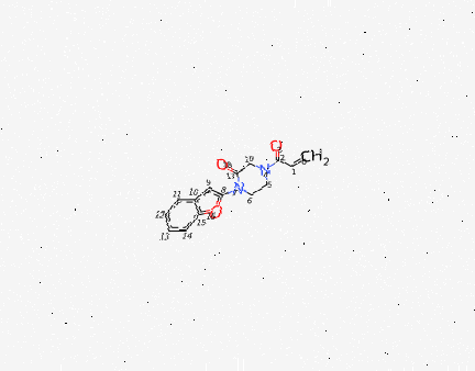 C=CC(=O)N1CCN(c2cc3ccccc3o2)C(=O)C1